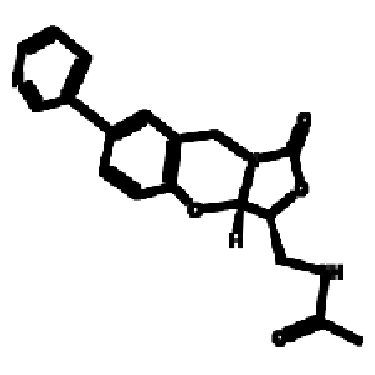 CC(=O)NC[C@@H]1OC(=O)N2Cc3cc(-c4cccnc4)ccc3O[C@@H]12